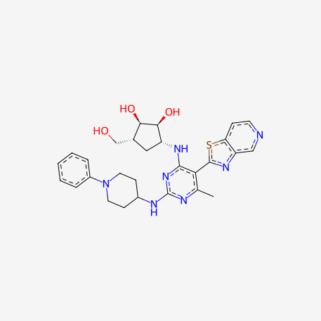 Cc1nc(NC2CCN(c3ccccc3)CC2)nc(N[C@@H]2C[C@H](CO)[C@@H](O)[C@H]2O)c1-c1nc2cnccc2s1